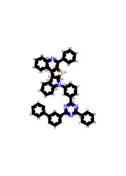 c1ccc(-c2cccc(-c3nc(-c4ccccc4)nc(-c4cccc(-n5c6ccccc6c6c7c(sc65)c(-c5ccccc5)nc5ccccc57)c4)n3)c2)cc1